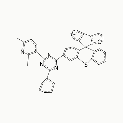 Cc1ccc(-c2nc(-c3ccccc3)nc(-c3ccc4c(c3)Sc3ccccc3C43c4ccccc4-c4ccccc43)n2)c(C)n1